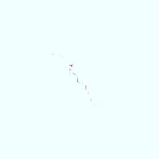 O=C(CCCl)NCCCOCCO